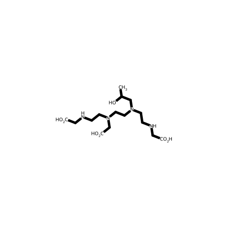 CC(O)CN(CCNCC(=O)O)CCN(CCNCC(=O)O)CC(=O)O